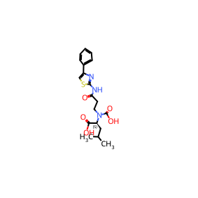 CC(C)C[C@@H](C(=O)O)N(CCC(=O)Nc1nc(-c2ccccc2)cs1)C(=O)O